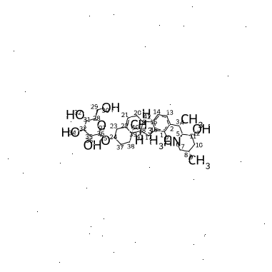 Cc1c([C@H](C)[C@@H]2NC[C@@H](C)C[C@H]2O)ccc2c1C[C@H]1[C@H]2CC=C2C[C@@H](O[C@@H]3O[C@H](CO)[C@@H](O)[C@H](O)[C@H]3O)CC[C@@]21C